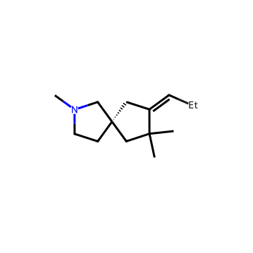 CC/C=C1/C[C@@]2(CCN(C)C2)CC1(C)C